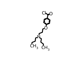 CCCCN(CCCC)CCCOc1ccc(C(=O)Cl)cc1